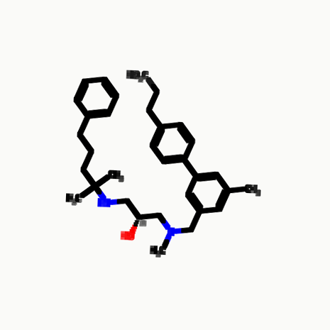 Cc1cc(CN(C)C[C@H](O)CNC(C)(C)CCCc2ccccc2)cc(-c2ccc(CCC(=O)O)cc2)c1